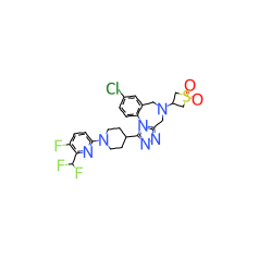 O=S1(=O)CC(N2Cc3cc(Cl)ccc3-n3c(nnc3C3CCN(c4ccc(F)c(C(F)F)n4)CC3)C2)C1